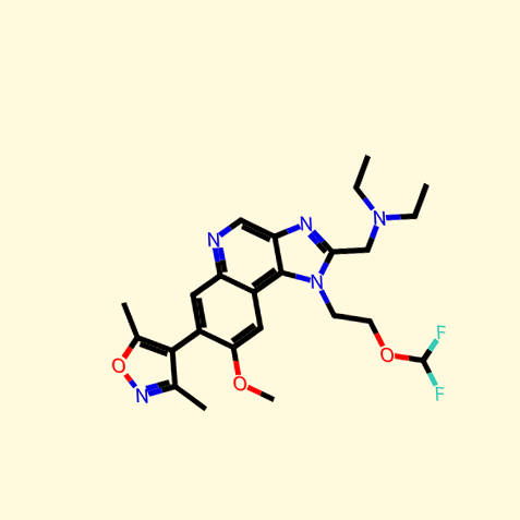 CCN(CC)Cc1nc2cnc3cc(-c4c(C)noc4C)c(OC)cc3c2n1CCOC(F)F